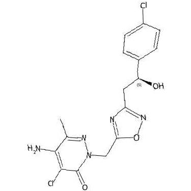 Cc1nn(Cc2nc(C[C@H](O)c3ccc(Cl)cc3)no2)c(=O)c(Cl)c1N